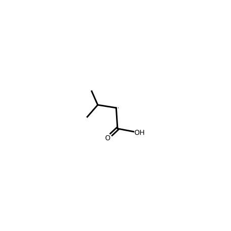 CC(C)[CH]C(=O)O